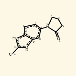 O=C1CCCN1c1ccc2nc(Cl)oc2c1